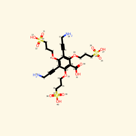 NCC#Cc1c(OCCCS(=O)(=O)O)c(C#CCN)c(OCCCS(=O)(=O)O)c(C(=O)O)c1OCCCS(=O)(=O)O